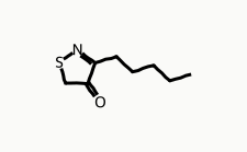 CCCCCC1=NSCC1=O